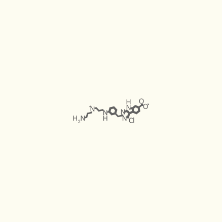 COC(=O)c1ccc2c(c1)[nH]c1nc(Cc3cccc(NCCCN(C)CCCN)c3)nc(Cl)c12